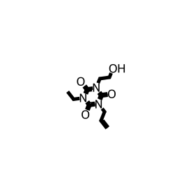 C=CCn1c(=O)n(CC)c(=O)n(CCO)c1=O